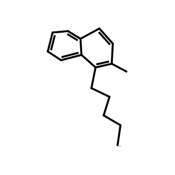 [CH2]CCCCc1c(C)ccc2ccccc12